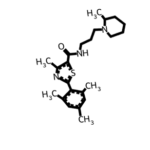 Cc1cc(C)c(-c2nc(C)c(C(=O)NCCCN3CCCCC3C)s2)c(C)c1